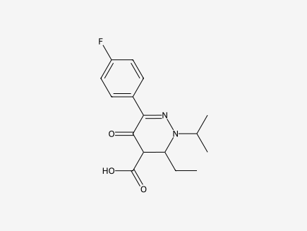 CCC1C(C(=O)O)C(=O)C(c2ccc(F)cc2)=NN1C(C)C